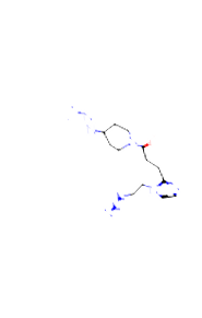 [N-]=[N+]=NCCn1ccnc1CCC(=O)N1CCC(N=NN)CC1